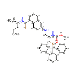 CSCC[C@H](NC(=S)c1cccc2cc(NC[C@H](CSC(c3ccccc3)(c3ccccc3)c3ccccc3)NC(=O)OC(C)(C)C)ccc12)C(=O)O